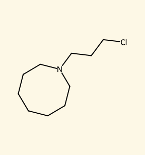 ClCCCN1CCCCCCC1